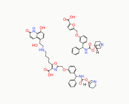 O=C(NC(c1ccccc1)c1cccc(OCc2ccc(C(=O)O)o2)c1)O[C@H]1CN2CCC1CC2.O=C(NC(c1ccccc1)c1cccc(OCc2nc(C(=O)O)c(CCCCNC[C@H](O)c3ccc(O)c4[nH]c(=O)ccc34)o2)c1)O[C@H]1CN2CCC1CC2